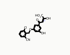 N#Cc1cccc(Cl)c1COc1cc(O)cc(C(=O)/C=C(/O)C(=O)O)c1